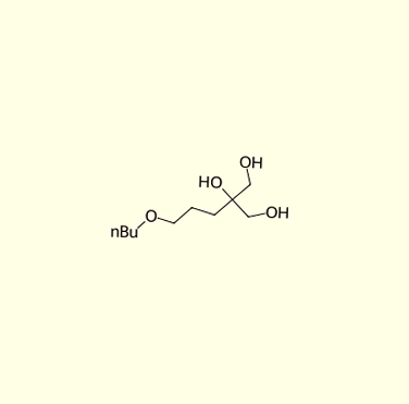 CCCCOCCCC(O)(CO)CO